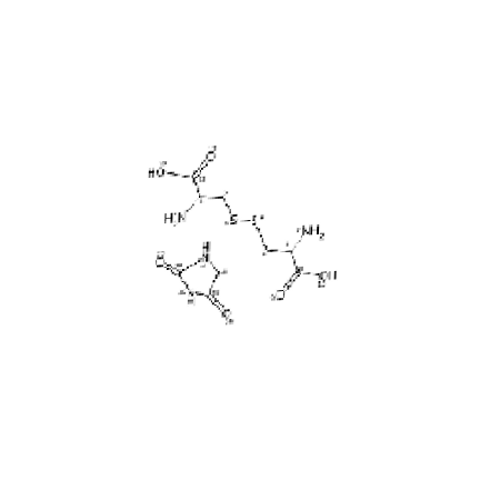 N[C@@H](CSSC[C@H](N)C(=O)O)C(=O)O.O=C1CNC(=O)N1